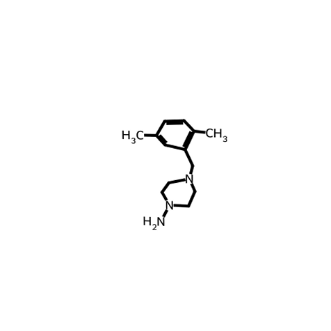 Cc1ccc(C)c(CN2CCN(N)CC2)c1